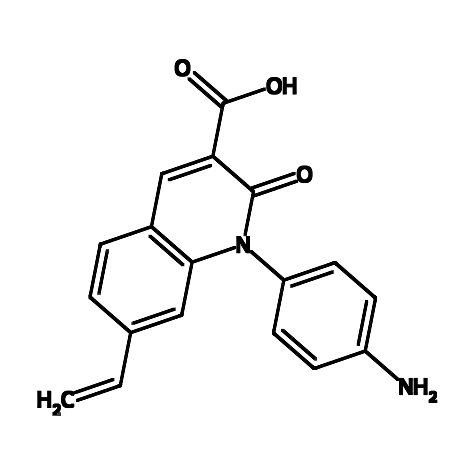 C=Cc1ccc2cc(C(=O)O)c(=O)n(-c3ccc(N)cc3)c2c1